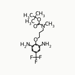 CN(CCCOc1c(N)cc(C(F)(F)F)cc1N)C(=O)OC(C)(C)C